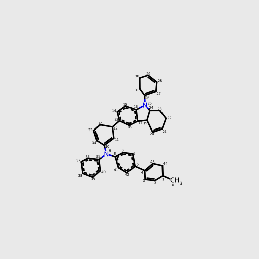 CC1C=CC(c2ccc(N(C3=CC(c4ccc5c(c4)C4C=CCCC4N5C4=CC=CCC4)CC=C3)c3ccccc3)cc2)=CC1